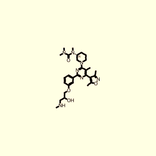 CNCC(O)COc1cccc(-c2nc(-c3c(C)noc3C)c(C)c(N3CCC[C@@H](N(C)C(=O)N(C)C)C3)n2)c1